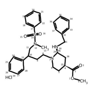 COC(=O)[C@H]1CCN(CCC(CN(C)S(=O)(=O)c2ccccc2)c2ccccc2)[C@@H](NCc2ccccc2)C1.Cl